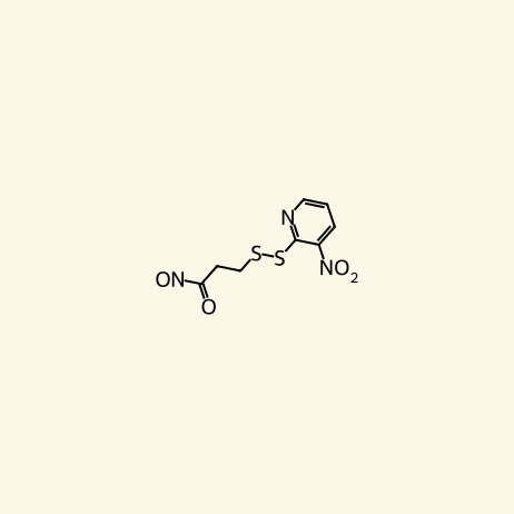 O=NC(=O)CCSSc1ncccc1[N+](=O)[O-]